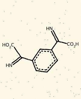 N=C(C(=O)O)c1cccc(C(=N)C(=O)O)c1